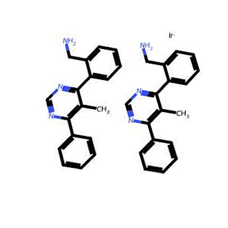 Cc1c(-c2ccccc2)ncnc1-c1ccccc1CN.Cc1c(-c2ccccc2)ncnc1-c1ccccc1CN.[Ir]